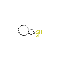 SC/C=c1/cccccccc/c1=C/CS